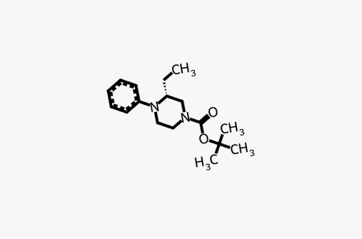 CC[C@@H]1CN(C(=O)OC(C)(C)C)CCN1c1ccccc1